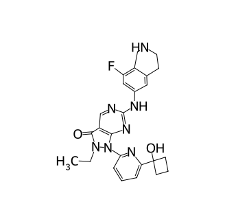 CCn1c(=O)c2cnc(Nc3cc(F)c4c(c3)CCNC4)nc2n1-c1cccc(C2(O)CCC2)n1